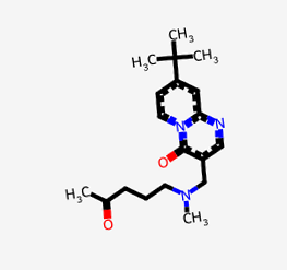 CC(=O)CCCN(C)Cc1cnc2cc(C(C)(C)C)ccn2c1=O